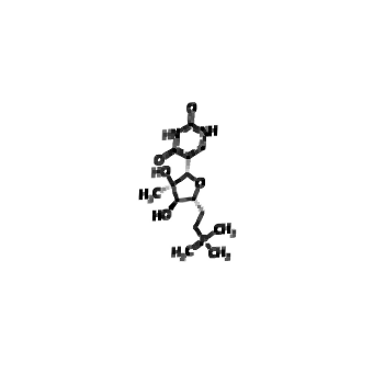 C=P(C)(C)CC[C@H]1O[C@@H](c2c[nH]c(=O)[nH]c2=O)[C@](C)(O)[C@@H]1O